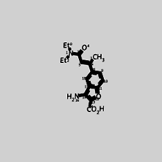 CCN(CC)C(=O)C=C(C)c1ccc2oc(C(=O)O)c(N)c2c1